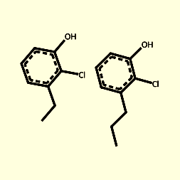 CCCc1cccc(O)c1Cl.CCc1cccc(O)c1Cl